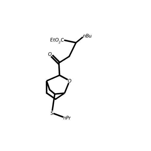 [CH2]CCCC(CC(=O)[C]1OC2CCC1CC2SCCC)C(=O)OCC